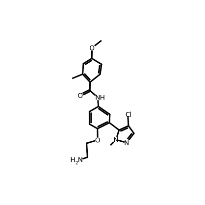 COc1ccc(C(=O)Nc2ccc(OCCN)c(-c3c(Cl)cnn3C)c2)c(C)c1